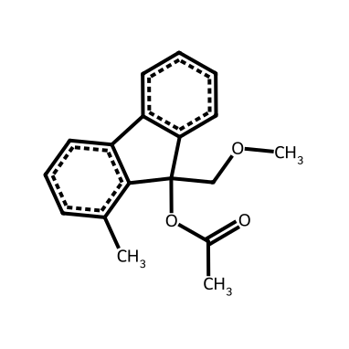 COCC1(OC(C)=O)c2ccccc2-c2cccc(C)c21